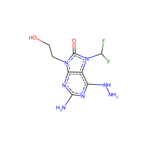 NNc1nc(N)nc2c1n(C(F)F)c(=O)n2CCO